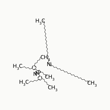 CCCCCCCCCCCCCCCCCCCCCC[CH2][Ni][CH2]CCCCCCCCCCCCCCCCCCCCCC.CCCCCCc1cc(CCCCCC)cc(C2=CC(CCCC)=C(c3cc(CCCCCC)cc(CCCCCC)c3)[N+]2=[N-])c1